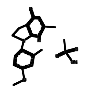 COc1ccc(N2CCc3c2[nH]c(C)cc3=O)c(C)c1.CS(=O)(=O)O